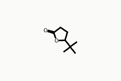 CC(C)(C)C1CCC(=O)O1